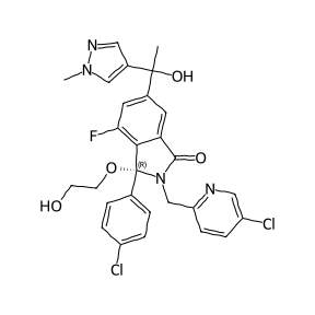 Cn1cc(C(C)(O)c2cc(F)c3c(c2)C(=O)N(Cc2ccc(Cl)cn2)[C@@]3(OCCO)c2ccc(Cl)cc2)cn1